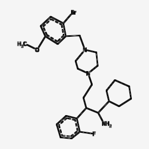 COc1ccc(Br)c(CN2CCN(CCC(c3ccccc3F)C(N)C3CCCCC3)CC2)c1